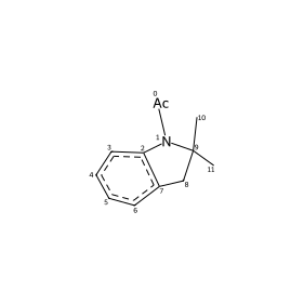 CC(=O)N1c2ccccc2CC1(C)C